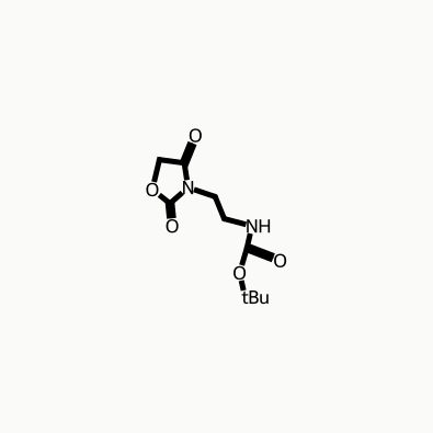 CC(C)(C)OC(=O)NCCN1C(=O)COC1=O